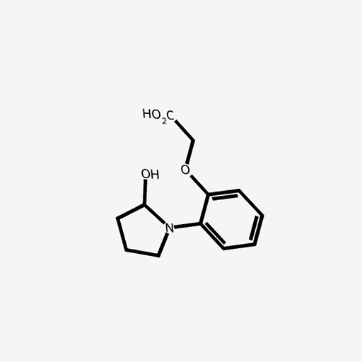 O=C(O)COc1ccccc1N1CCCC1O